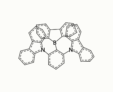 c1ccc2c(c1)B(c1c(-n3c4ccccc4c4ccccc43)cccc1-n1c3ccccc3c3ccccc31)c1ccccc1-2